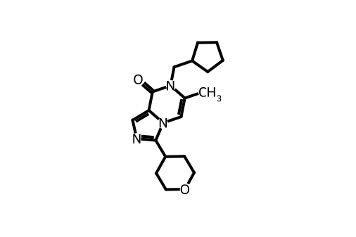 Cc1cn2c(C3CCOCC3)ncc2c(=O)n1CC1CCCC1